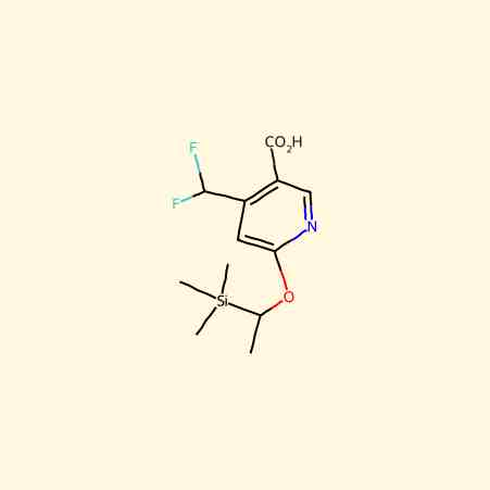 CC(Oc1cc(C(F)F)c(C(=O)O)cn1)[Si](C)(C)C